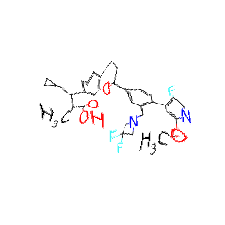 COc1cc(-c2ccc(C3CCc4ccc([C@H](C5CC5)[C@H](C)C(=O)O)cc4O3)cc2CN2CC(F)(F)C2)c(F)cn1